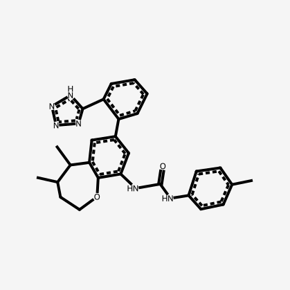 Cc1ccc(NC(=O)Nc2cc(-c3ccccc3-c3nnn[nH]3)cc3c2OCCC(C)C3C)cc1